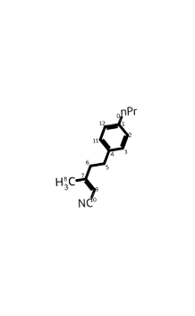 CCCc1ccc(CCC(C)=CC#N)cc1